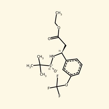 CCOC(=O)C[C@H](N[S@+]([O-])C(C)(C)C)c1cccc(OC(F)(F)F)c1